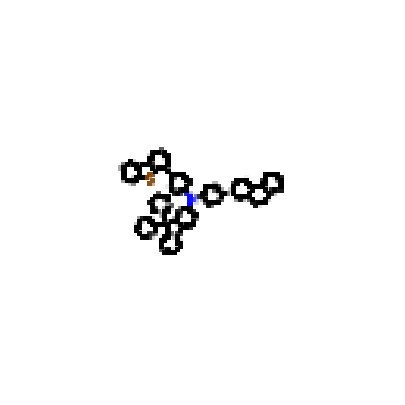 c1ccc(C2(c3ccccc3)c3ccccc3-c3ccc(N(c4ccc(-c5ccc6c(ccc7ccccc76)c5)cc4)c4ccc(-c5cccc6c5sc5ccccc56)cc4)cc32)cc1